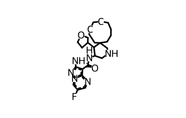 Nc1nn2cc(F)cnc2c1C(=O)NC1CNCC2(CCCCCCCCC2)C1C1CCOC1